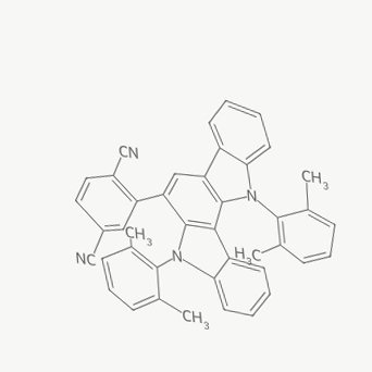 Cc1cccc(C)c1-n1c2ccccc2c2c1c(-c1cc(C#N)ccc1C#N)cc1c3ccccc3n(-c3c(C)cccc3C)c12